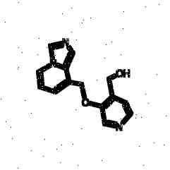 OCc1ccncc1OCc1cccn2cncc12